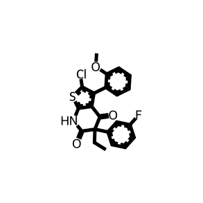 CCC1(c2cccc(F)c2)C(=O)Nc2sc(Cl)c(-c3ccccc3OC)c2C1=O